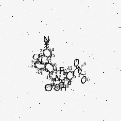 COCCN(C)C(=O)c1cc(F)c(C(=O)N[C@@H](Cc2ccc(-c3ccc(C#N)cc3Cl)c3ncccc23)C(=O)O)c(F)c1